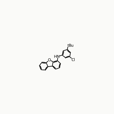 CC(C)(C)c1cc(Cl)cc(Nc2cccc3c2oc2ccccc23)c1